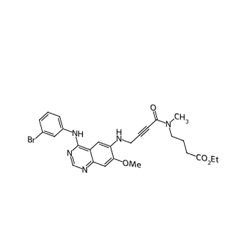 CCOC(=O)CCCN(C)C(=O)C#CCNc1cc2c(Nc3cccc(Br)c3)ncnc2cc1OC